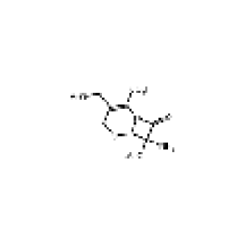 COC1(N)C(=O)N2C(C(=O)O)=C(COC(C)=O)CSC21